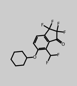 O=C1c2c(ccc(OC3CCCCC3)c2C(F)F)C(F)(F)C1(F)F